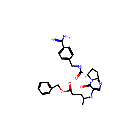 CC(CCC(=O)OCc1ccccc1)Nc1cnc2n(c1=O)[C@H](C(=O)NCc1ccc(C(=N)N)cc1)CC2